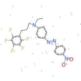 CCN(CCCc1c(F)c(F)c(F)c(F)c1F)c1ccc(/N=N/c2ccc([N+](=O)[O-])cc2)cc1